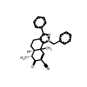 C[C@H]1C(=O)C(C#N)=CC2(C)c3c(c(-c4ccccc4)nn3Cc3ccccc3)CC[C@H]12